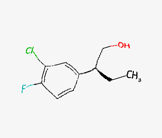 CC[C@H](CO)c1ccc(F)c(Cl)c1